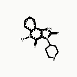 Cn1c(=O)c2c([nH]c(=O)n2C2CCNCC2)c2ccccc21